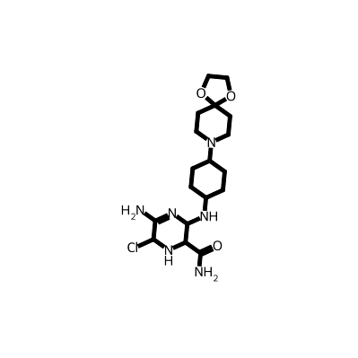 NC(=O)C1NC(Cl)C(N)=NC1NC1CCC(N2CCC3(CC2)OCCO3)CC1